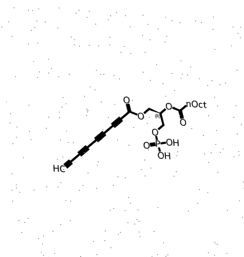 C#CC#CC#CC#CC(=O)OC[C@H](COP(=O)(O)O)OC(=O)CCCCCCCC